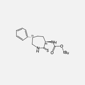 CC(C)(C)OC(=O)N[C@@H]1CC[C@@H](c2ccccc2)CNC1=S